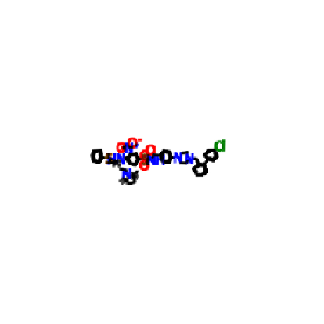 C[C@H]1CC[C@H](C)N1CC[C@H](CSc1ccccc1)Nc1ccc(S(=O)(=O)NC(=O)c2ccc(N3CCN(Cc4ccccc4-c4ccc(Cl)cc4)CC3)cc2)cc1[N+](=O)[O-]